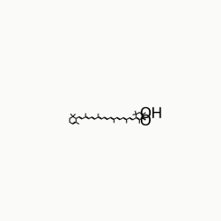 CC1=CCCC(C)(C)C1/C=C/C(C)=C/C=C/C(C)=C/C=C/C=C(C)/C=C/C=C(C)/C=C/C1=C(C)C(=O)C(O)CC1(C)C